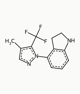 Cc1cnn(-c2cccc3c2CCN3)c1C(F)(F)F